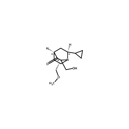 COC[C@]1(CO)C(=O)[C@H]2CCN1[C@H](C1CC1)C2